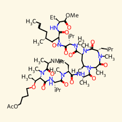 C/C=C/C[C@@H](C)[C@H]1ON(C(=O)[C@H](C(C)C)N(C)C(=O)[C@@H]2CC(C)N(C(=O)[C@H](C)NC(=O)[C@H](CC(C)C)N(C)C(=O)[C@@H](NC(=O)[C@H]([C@H](C)OCCCCOC(C)=O)N(C)C(=O)[C@@H](C)NC)C(C)C)[C@H](C)C(=O)N(C)[C@@H](CC(C)C)C(=O)N2C)[C@@H]1C(=O)N[C@@H](CC)C(=O)OC